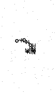 O=C(c1ccc(CN2CCC3(CCCN(CCc4ccccc4)C3)C2)cc1)N(Cc1ncc[nH]1)Cc1ncc[nH]1